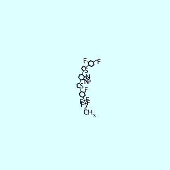 CCCC(F)(F)C(F)(F)c1ccc(-c2ccc(-c3ccc(-c4ccc(-c5ccc(CF)cc5F)s4)c4nsnc34)s2)c(F)c1